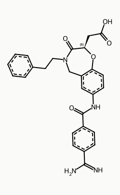 N=C(N)c1ccc(C(=O)Nc2ccc3c(c2)CN(CCc2ccccc2)C(=O)[C@@H](CC(=O)O)O3)cc1